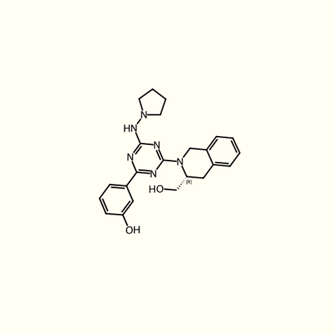 OC[C@H]1Cc2ccccc2CN1c1nc(NN2CCCC2)nc(-c2cccc(O)c2)n1